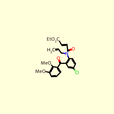 C=CCN(C(=O)/C=C/C(=O)OCC)c1ccc(Cl)cc1C(=O)c1cccc(OC)c1OC